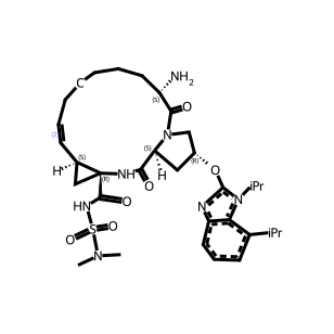 CC(C)c1cccc2nc(O[C@@H]3C[C@H]4C(=O)N[C@]5(C(=O)NS(=O)(=O)N(C)C)C[C@H]5/C=C\CCCCC[C@H](N)C(=O)N4C3)n(C(C)C)c12